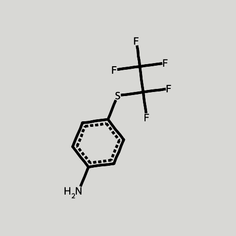 Nc1ccc(SC(F)(F)C(F)(F)F)cc1